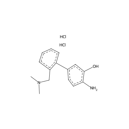 CN(C)Cc1ccccc1-c1ccc(N)c(O)c1.Cl.Cl